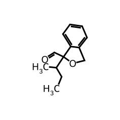 CCC(C)C1(C=O)OCc2ccccc21